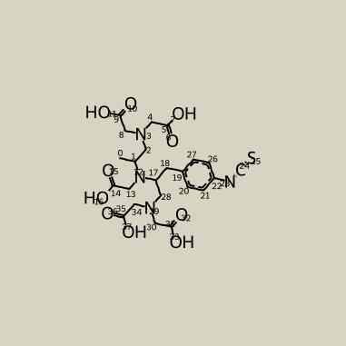 CC(CN(CC(=O)O)CC(=O)O)N(CC(=O)O)C(Cc1ccc(N=C=S)cc1)CN(CC(=O)O)CC(=O)O